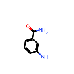 [NH]c1cccc(C(N)=O)c1